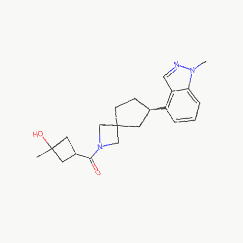 Cn1ncc2c([C@@H]3CCC4(C3)CN(C(=O)C3CC(C)(O)C3)C4)cccc21